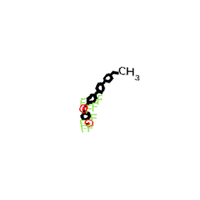 CCCC1CCC(C2CCC(c3ccc(C(F)(F)Oc4ccc(OC(F)(F)F)c(F)c4)c(F)c3F)CC2)CC1